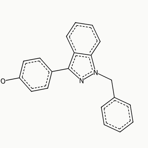 Oc1ccc(-c2nn(Cc3ccccc3)c3ccccc23)cc1